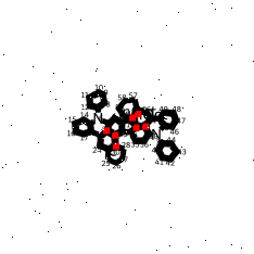 CCCCCCCCC1(CCCCCCCC)c2cc(N(c3ccccc3)c3ccccc3-c3ccc4c(c3)C3CCC4CC3)ccc2-c2ccc(N(c3ccccc3)c3ccccc3-c3ccc4c(c3)C3CCC4CC3)cc21